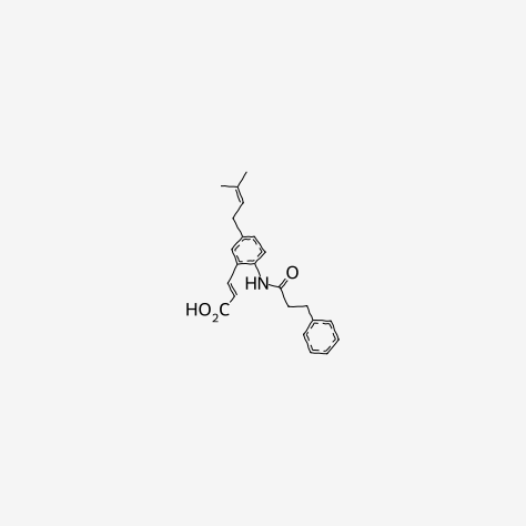 CC(C)=CCc1ccc(NC(=O)CCc2ccccc2)c(/C=C/C(=O)O)c1